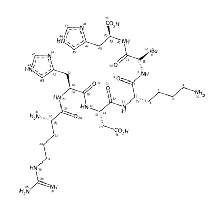 CC[C@H](C)[C@H](NC(=O)[C@H](CCCCN)NC(=O)[C@H](CC(=O)O)NC(=O)[C@H](Cc1c[nH]cn1)NC(=O)[C@@H](N)CCCNC(=N)N)C(=O)N[C@@H](Cc1c[nH]cn1)C(=O)O